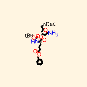 CCCCCCCCCCCCC[C@H](CC(N)=O)OC(=O)[C@H](CCCC(=O)OCc1ccccc1)NC(=O)OC(C)(C)C